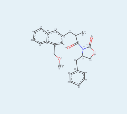 CCCOCc1cc(CC(CC)C(=O)N2C(=O)OCC2Cc2ccccc2)cc2ccccc12